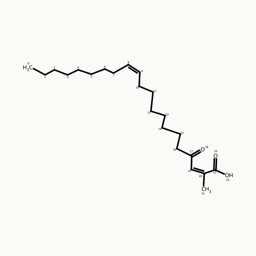 CCCCCCCC/C=C\CCCCCCCC(=O)C=C(C)C(=O)O